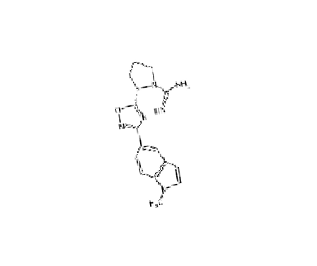 Cn1ccc2cc(-c3noc([C@@H]4CCCN4C(=N)N)n3)ccc21